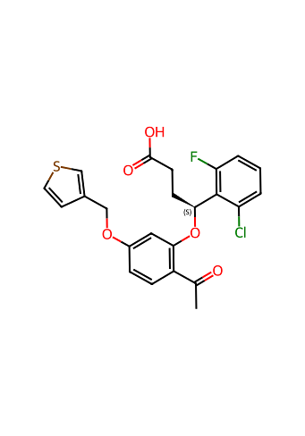 CC(=O)c1ccc(OCc2ccsc2)cc1O[C@@H](CCC(=O)O)c1c(F)cccc1Cl